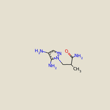 CC(Cn1ncc(N)c1N)C(N)=O